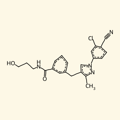 Cc1nn(-c2ccc(C#N)c(Cl)c2)cc1Cc1cccc(C(=O)NCCCO)c1